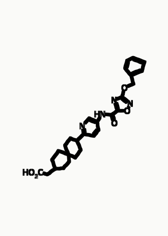 O=C(O)CC1CCC2(CC1)CCC(c1ccc(NC(=O)c3nc(OCc4ccccc4)no3)cn1)CC2